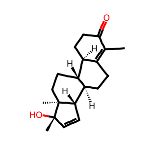 CC1=C2CC[C@@H]3[C@H](CC[C@@]4(C)[C@H]3C=C[C@]4(C)O)[C@H]2CCC1=O